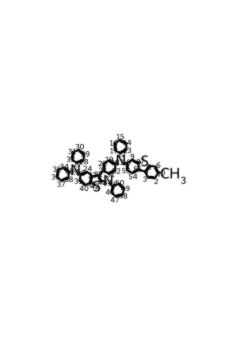 Cc1ccc2c(c1)sc1cc(N(c3ccccc3)c3ccc4c5c6cc(N(c7ccccc7)c7ccccc7)ccc6sc5n(-c5ccccc5)c4c3)ccc12